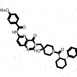 COc1ccc(C(=O)Nc2ccc3ncn(CC4(O)CCN(C(=O)[C@@H]5CCCC[C@H]5c5ccccc5)CC4)c(=O)c3n2)cc1